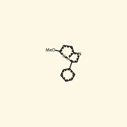 COc1ccc2ncc(-c3ccccc3)n2n1